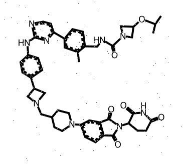 Cc1cc(-c2ccnc(Nc3ccc(C4CN(CC5CCN(c6ccc7c(c6)C(=O)N(C6CCC(=O)NC6=O)C7=O)CC5)C4)cc3)n2)ccc1CNC(=O)N1CC(OC(C)C)C1